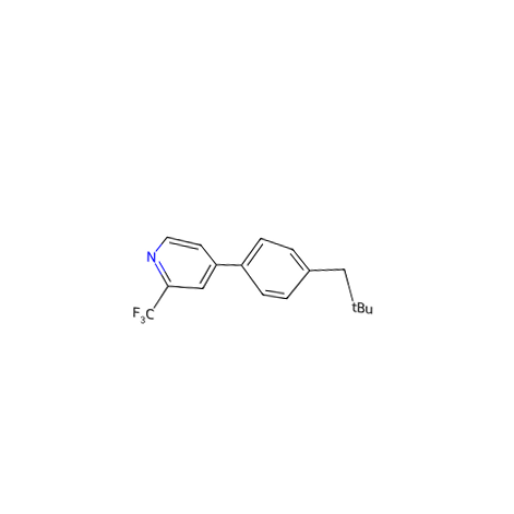 CC(C)(C)Cc1ccc(-c2ccnc(C(F)(F)F)c2)cc1